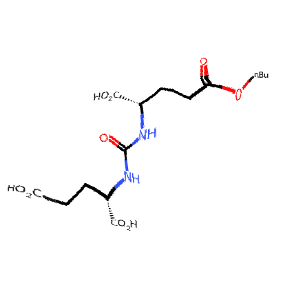 CCCCOC(=O)CC[C@H](NC(=O)N[C@@H](CCC(=O)O)C(=O)O)C(=O)O